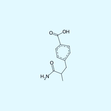 CC(Cc1ccc(C(=O)O)cc1)C(N)=O